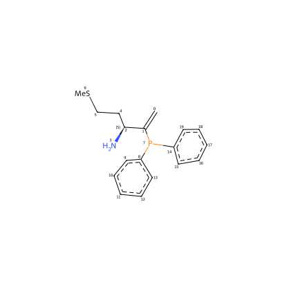 C=C([C@@H](N)CCSC)P(c1ccccc1)c1ccccc1